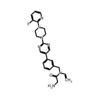 C=CN(Cc1cccc(-c2cnc(N3CCN(c4ncccc4F)CC3)nc2)c1)C(=O)CN